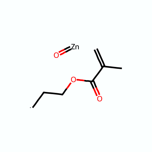 [CH2]CCOC(=O)C(=C)C.[O]=[Zn]